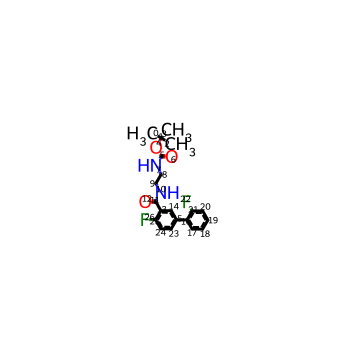 CC(C)(C)OC(=O)NCCNC(=O)c1cc(-c2ccccc2F)ccc1F